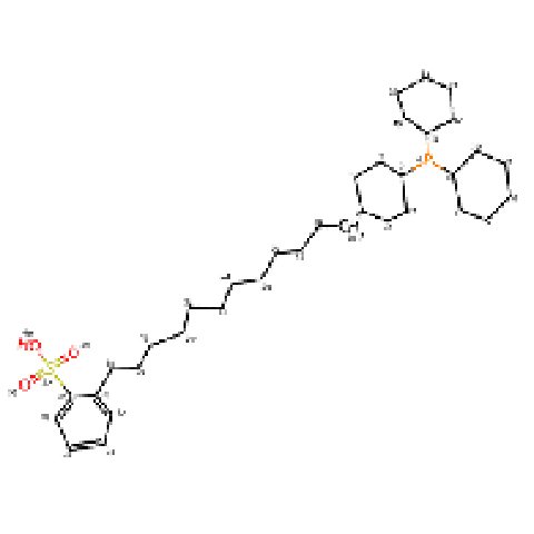 C1CCC(P(C2CCCCC2)C2CCCCC2)CC1.CCCCCCCCCCCCc1ccccc1S(=O)(=O)O